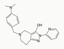 CN(C)c1ccc(CN2CCc3nn(-c4ccccn4)c(O)c3C2)cc1